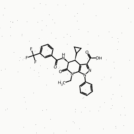 CCN1C(=O)[C@@H](NC(=O)c2cccc(C(F)(F)F)c2)[C@@H](C2CC2)c2c(C(=O)O)nn(-c3ccccc3)c21